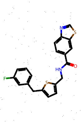 O=C(NCc1ccc(Cc2cccc(F)c2)s1)c1ccc2ncsc2c1